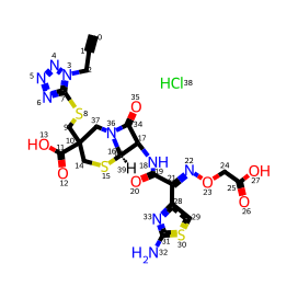 C#CCn1nnnc1SCC1(C(=O)O)CS[C@@H]2C(NC(=O)C(=NOCC(=O)O)c3csc(N)n3)C(=O)N2C1.Cl